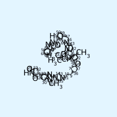 Cc1cc(OC2CCC(CCCN3CCN(c4nc5cc(C6CCC(=O)NC6=O)ccc5n4C)CC3)CC2)ccc1-c1ccc(N2CCc3cccc(C(=O)Nc4nc5ccccc5s4)c3C2)nc1C(=O)OC(C)(C)C